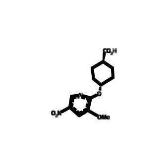 COc1cc([N+](=O)[O-])cnc1O[C@H]1CC[C@H](C(=O)O)CC1